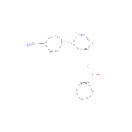 N#Cc1ccc(-c2cc(NC[C@@H](O)c3ccccc3)ncn2)cc1F